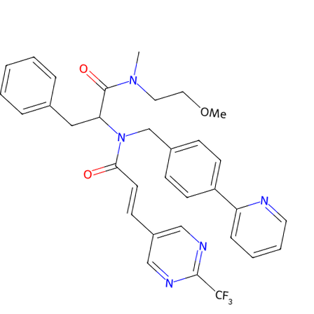 COCCN(C)C(=O)C(Cc1ccccc1)N(Cc1ccc(-c2ccccn2)cc1)C(=O)C=Cc1cnc(C(F)(F)F)nc1